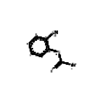 CCCC(=O)Nc1ccccc1C#N